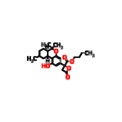 CCCCOC(=O)C1(c2cc(O)c3c(c2)OC(C)(C)[C@@H]2CC=C(C)C[C@@H]32)CC(=O)O1